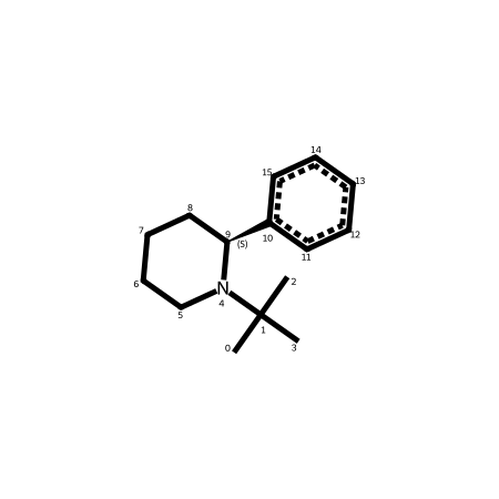 CC(C)(C)N1CCCC[C@H]1c1ccccc1